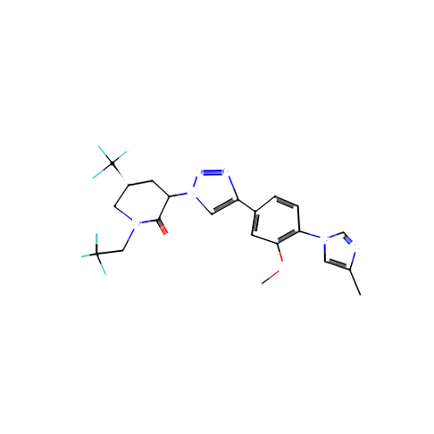 COc1cc(-c2cn(C3C[C@H](C(F)(F)F)CN(CC(F)(F)F)C3=O)nn2)ccc1-n1cnc(C)c1